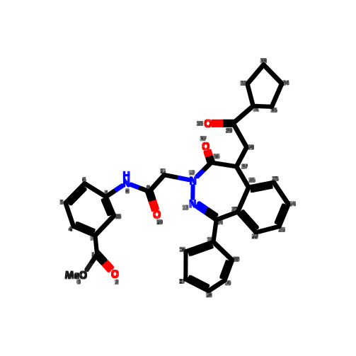 COC(=O)c1cccc(NC(=O)CN2N=C(c3ccccc3)c3ccccc3C(CC(=O)C3CCCC3)C2=O)c1